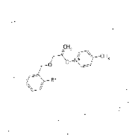 C=C(COCc1ccccc1Br)O[n+]1ccc(C)cc1